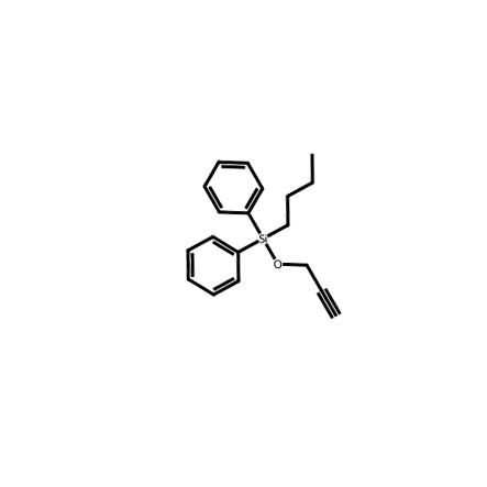 C#CCO[Si](CCCC)(c1ccccc1)c1ccccc1